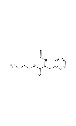 CCCCOC(=O)C(Cc1ccccc1)N[C]=O